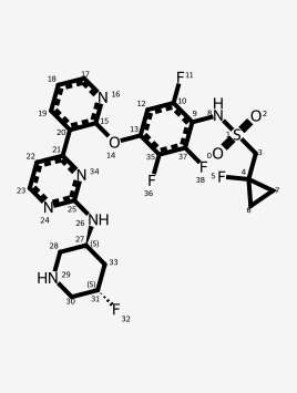 O=S(=O)(CC1(F)CC1)Nc1c(F)cc(Oc2ncccc2-c2ccnc(N[C@@H]3CNC[C@@H](F)C3)n2)c(F)c1F